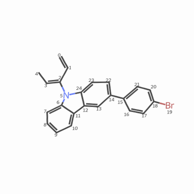 C=C/C(=C\C)n1c2ccccc2c2cc(-c3ccc(Br)cc3)ccc21